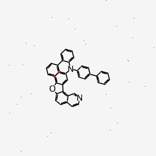 c1ccc(-c2ccc(N(c3ccc4oc5ccc6ccncc6c5c4c3)c3ccccc3-c3ccccc3)cc2)cc1